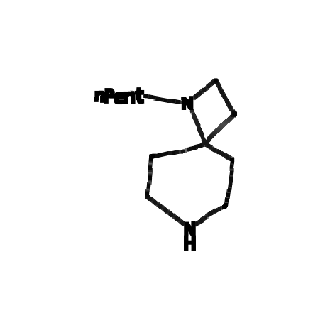 CCCCCN1CCC12CCNCC2